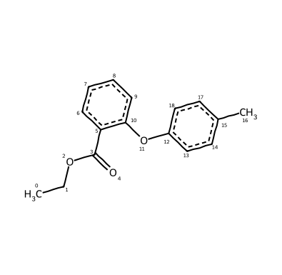 CCOC(=O)c1ccccc1Oc1ccc(C)cc1